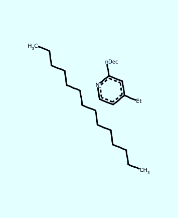 CCCCCCCCCCCCCC.CCCCCCCCCCc1cc(CC)ccn1